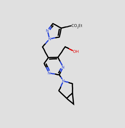 CCOC(=O)c1cnn(Cc2cnc(N3CC4CC4C3)nc2CO)c1